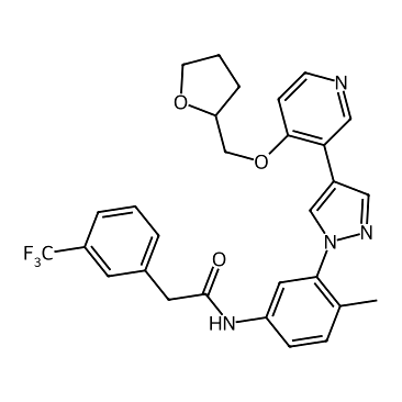 Cc1ccc(NC(=O)Cc2cccc(C(F)(F)F)c2)cc1-n1cc(-c2cnccc2OCC2CCCO2)cn1